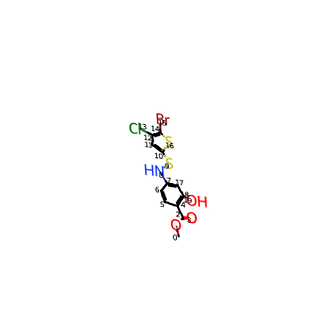 COC(=O)c1ccc(NSc2cc(Cl)c(Br)s2)cc1O